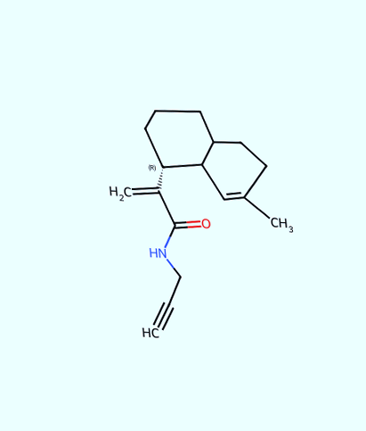 C#CCNC(=O)C(=C)[C@@H]1CCCC2CCC(C)=CC21